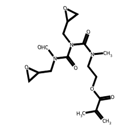 C=C(C)C(=O)OCCN(C)C(=O)N(CC1CO1)C(=O)N(C=O)CC1CO1